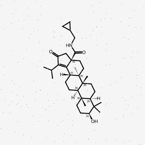 CC(C)C1=C2[C@H]3CC[C@@H]4[C@@]5(C)CC[C@H](O)C(C)(C)[C@@H]5CC[C@@]4(C)[C@]3(C)CC[C@@]2(C(=O)NCC2CC2)CC1=O